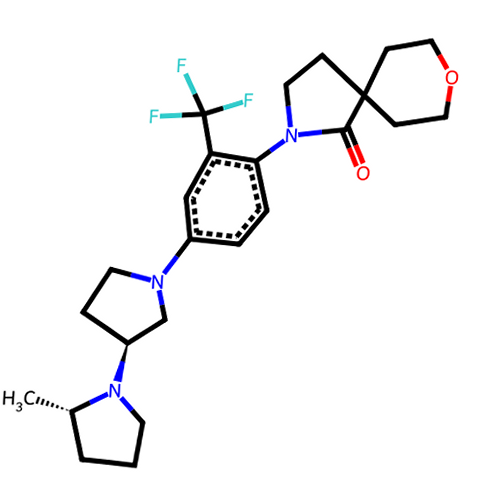 C[C@H]1CCCN1[C@H]1CCN(c2ccc(N3CCC4(CCOCC4)C3=O)c(C(F)(F)F)c2)C1